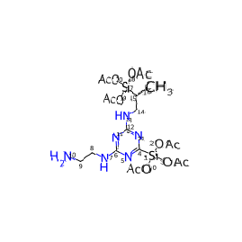 CC(=O)O[Si](OC(C)=O)(OC(C)=O)c1nc(NCCN)nc(NCC(C)[Si](OC(C)=O)(OC(C)=O)OC(C)=O)n1